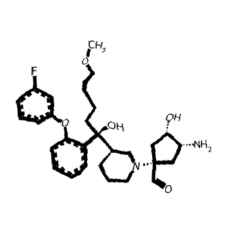 COCCCC[C@@](O)(c1ccccc1Oc1cccc(F)c1)[C@@H]1CCCN([C@@]2(C=O)C[C@@H](N)[C@@H](O)C2)C1